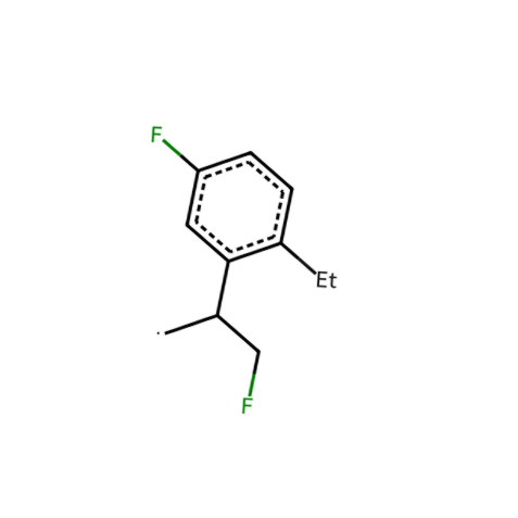 [CH2]C(CF)c1cc(F)ccc1CC